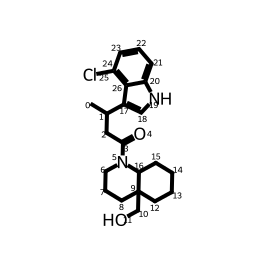 CC(CC(=O)N1CCCC2(CO)CCCCC12)c1c[nH]c2cccc(Cl)c12